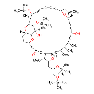 C=C1C(C)CC(O)CC[C@@H]2OC(CCC/C=C/C(O[Si](C)(C)C(C)(C)C)C3O[C@H]4CCC(CC(=O)CC5[C@@H](OC)C(CC(CO[Si](C)(C)C(C)(C)C)O[Si](C)(C)C(C)(C)C)O[C@H]5CC1OC(C)=O)OC4[C@H](O)C3O[Si](C)(C)C(C)(C)C)CC2=C